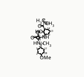 COc1ccc([C@@H](C)Nc2c(Nc3cccc(C(=O)N(C)C)c3O)c(=O)c2=O)cc1